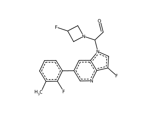 Cc1cccc(-c2cnc3c(F)cn(C(C=O)N4CC(F)C4)c3c2)c1F